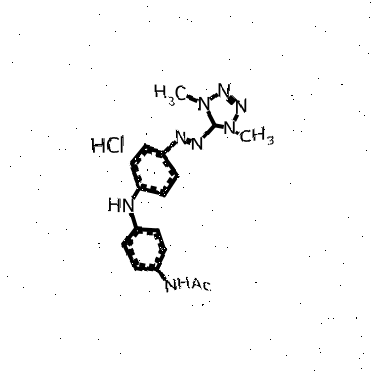 CC(=O)Nc1ccc(Nc2ccc(N=NC3N(C)N=NN3C)cc2)cc1.Cl